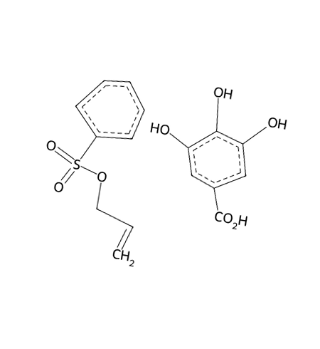 C=CCOS(=O)(=O)c1ccccc1.O=C(O)c1cc(O)c(O)c(O)c1